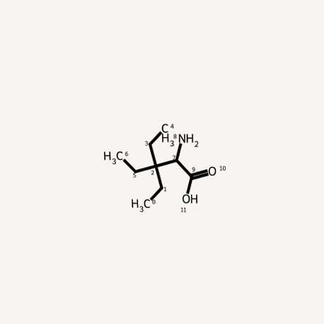 CCC(CC)(CC)C(N)C(=O)O